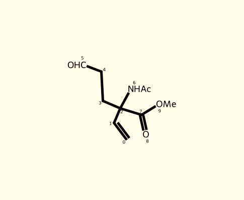 C=CC(CCC=O)(NC(C)=O)C(=O)OC